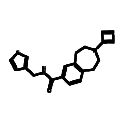 O=C(NCc1ccsc1)c1ccc2c(c1)CCN(C1=CC=C1)CC2